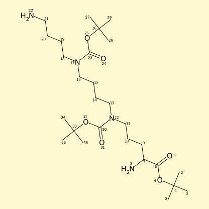 CC(C)(C)OC(=O)C(N)CCCN(CCCCN(CCCCN)C(=O)OC(C)(C)C)C(=O)OC(C)(C)C